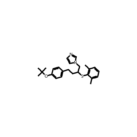 Cc1cccc(C)c1SC(CCc1ccc(OC(C)(C)C)cc1)Cn1ccnc1